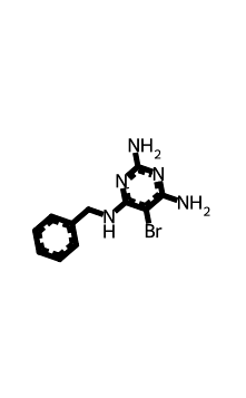 Nc1nc(N)c(Br)c(NCc2ccccc2)n1